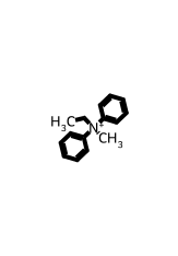 CC[N+](C)(c1ccccc1)c1ccccc1